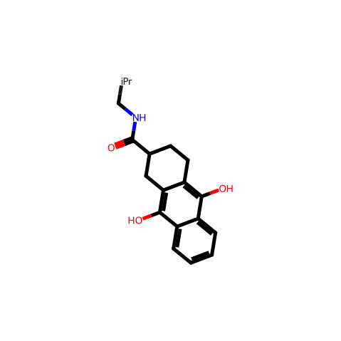 CC(C)CNC(=O)C1CCc2c(c(O)c3ccccc3c2O)C1